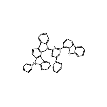 c1ccc(-c2cc(-c3cccc4c3sc3ccccc34)nc(-n3c4ccccc4c4ccc5c(c6ccccc6n5-c5ccccc5)c43)n2)cc1